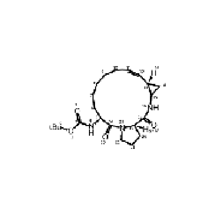 CC(C)(C)OC(=O)N[C@H]1CCCCC/C=C\[C@@H]2CC2NC(=O)[C@@H]2CCCN2C1=O